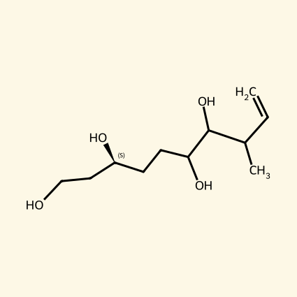 C=CC(C)C(O)C(O)CC[C@H](O)CCO